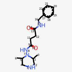 CC1CNCC(C)N1NC(=O)CCC(=O)NCc1ccccc1